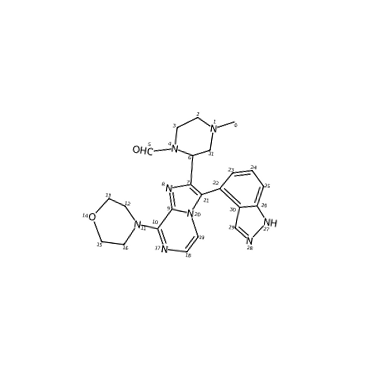 CN1CCN(C=O)C(c2nc3c(N4CCOCC4)nccn3c2-c2cccc3[nH]ncc23)C1